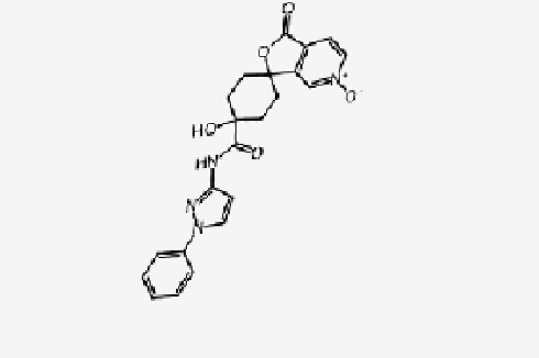 O=C1OC2(CCC(O)(C(=O)Nc3ccn(-c4ccccc4)n3)CC2)c2c[n+]([O-])ccc21